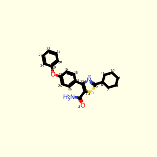 NC(=O)c1sc(C2CCCCC2)nc1-c1ccc(Oc2ccccc2)cc1